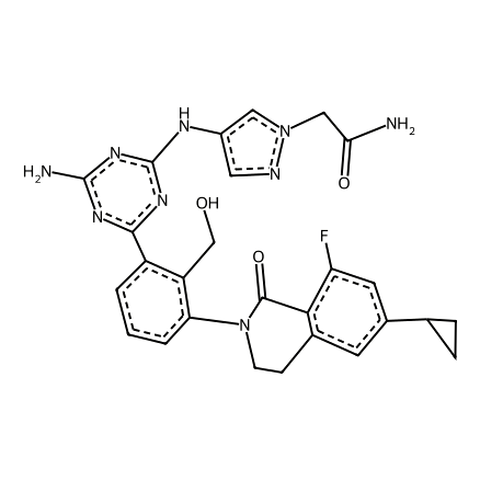 NC(=O)Cn1cc(Nc2nc(N)nc(-c3cccc(N4CCc5cc(C6CC6)cc(F)c5C4=O)c3CO)n2)cn1